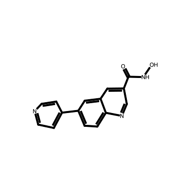 O=C(NO)c1cnc2ccc(-c3ccncc3)cc2c1